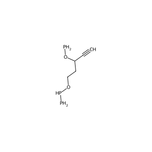 C#CC(CCOPP)OP